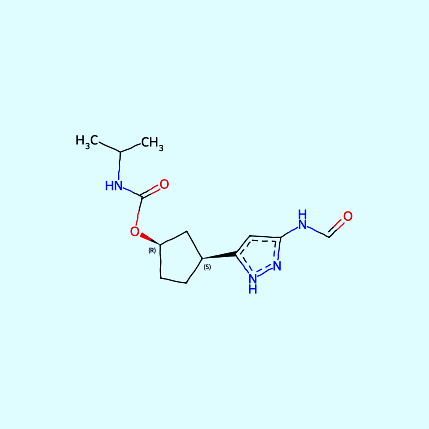 CC(C)NC(=O)O[C@@H]1CC[C@H](c2cc(NC=O)n[nH]2)C1